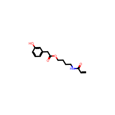 C=CC(=O)NCCCCOC(=O)Cc1cccc(O)c1